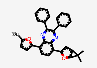 CC(C)(C)c1ccc(-c2ccc(-c3cc4c(o3)C4(C)C)c3nc(-c4ccccc4)c(-c4ccccc4)nc23)o1